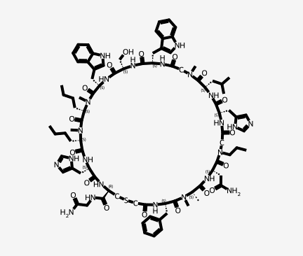 CCCC[C@H]1C(=O)N(C)[C@@H](CCCC)C(=O)N[C@@H](Cc2cnc[nH]2)C(=O)N[C@H](C(=O)NCC(N)=O)CSCC(=O)N[C@@H](Cc2ccccc2)C(=O)N(C)[C@@H](C)C(=O)N[C@@H](CC(N)=O)C(=O)N(CCC)CC(=O)N[C@@H](Cc2cnc[nH]2)C(=O)N[C@@H](CC(C)C)C(=O)N(C)CC(=O)N[C@@H](Cc2c[nH]c3ccccc23)C(=O)N[C@@H](CO)C(=O)N[C@@H](Cc2c[nH]c3ccccc23)C(=O)N1C